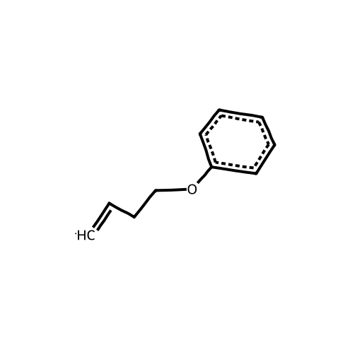 [CH]=CCCOc1ccccc1